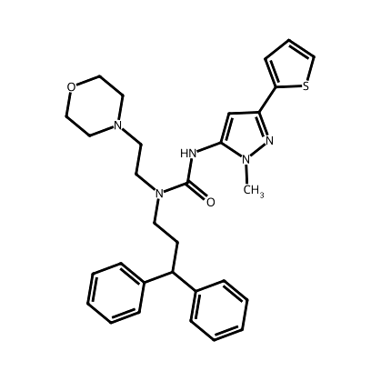 Cn1nc(-c2cccs2)cc1NC(=O)N(CCC(c1ccccc1)c1ccccc1)CCN1CCOCC1